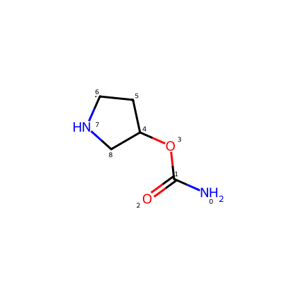 NC(=O)OC1C[CH]NC1